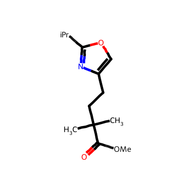 COC(=O)C(C)(C)CCc1coc(C(C)C)n1